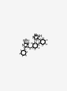 CCCCc1nc(-c2ccccc2)n(Cc2ccc(-c3ccccc3-c3nnn[nH]3)nc2)n1